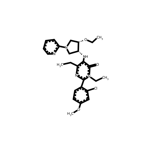 CCO[C@H]1CN(c2ccccn2)C[C@H]1Nc1c(CC)nc(-c2ccc(OC)cc2Cl)n(CC)c1=O